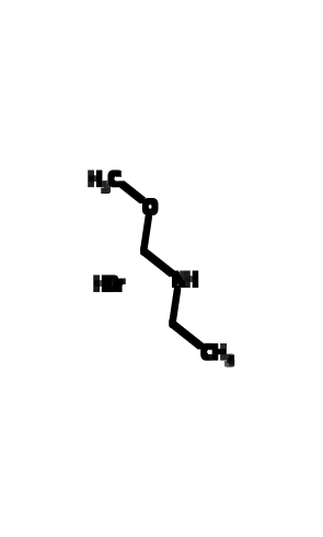 Br.CCNCOC